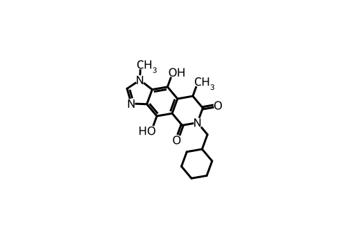 CC1C(=O)N(CC2CCCCC2)C(=O)c2c1c(O)c1c(ncn1C)c2O